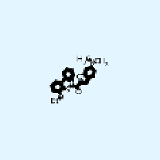 CCOc1cccc(-c2ccccc2)c1SNC(=O)c1cc2ccc(N(C)C)cc2o1